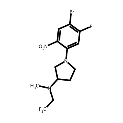 CN(CC(F)(F)F)C1CCN(c2cc(F)c(Br)cc2[N+](=O)[O-])C1